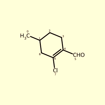 CC1CCC(C=O)=C(Cl)C1